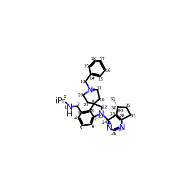 CC(C)NCc1cccc2c1C1(CCN(Cc3ccccc3)CC1)CN2c1ncnc2c1[C@H](C)CC2